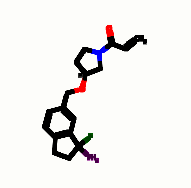 C=CC(=O)N1CC[C@H](OCc2ccc3c(c2)C(F)(P)CC3)C1